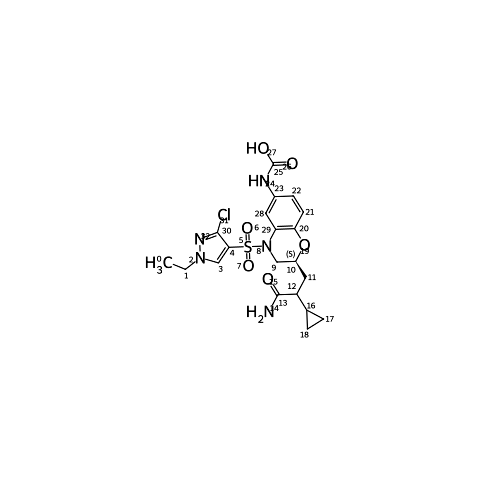 CCn1cc(S(=O)(=O)N2C[C@H](CC(C(N)=O)C3CC3)Oc3ccc(NC(=O)O)cc32)c(Cl)n1